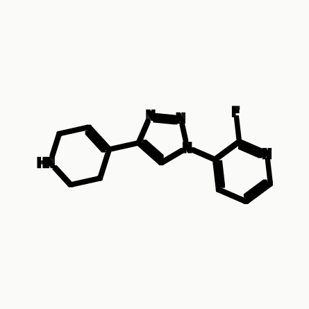 Fc1ncccc1-n1cc(C2=CCNCC2)nn1